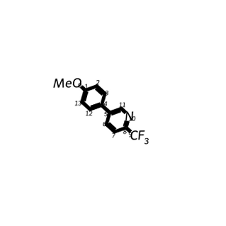 COc1ccc(-c2ccc(C(F)(F)F)nc2)cc1